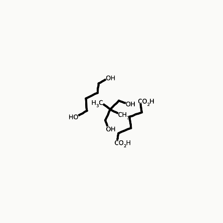 CC(C)(CO)CO.O=C(O)CCCCC(=O)O.OCCCCO